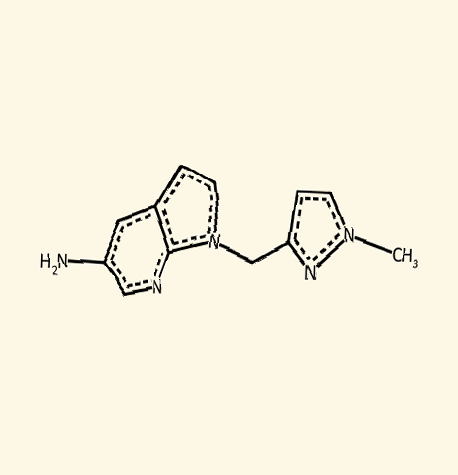 Cn1ccc(Cn2ccc3cc(N)cnc32)n1